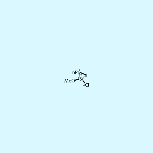 CCCC.CO[SiH2]Cl